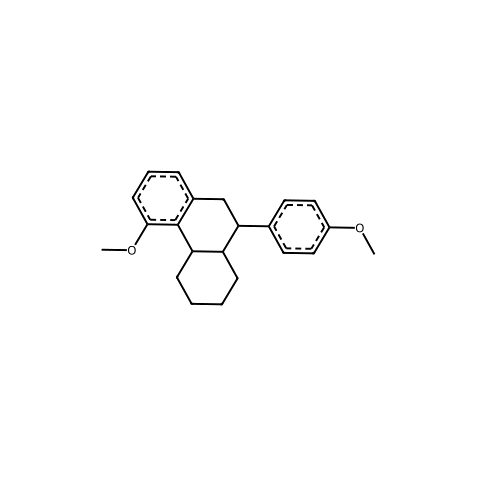 COc1ccc(C2Cc3cccc(OC)c3C3CCCCC23)cc1